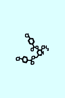 Cc1ncc(COC(=O)c2ccc(Cl)cc2)cc1OC(=O)c1ccc(Cl)cc1